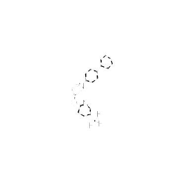 FC(F)(F)c1ccc(O[C@H]2CCN(c3ccc(-c4ccccc4)cc3)C2)nc1